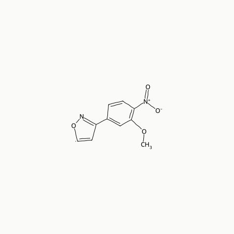 COc1cc(-c2c[c]on2)ccc1[N+](=O)[O-]